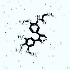 CCC(=O)Nc1cc(-c2conc2-c2cc(C)c(OC)c(OC)c2)ccc1OC